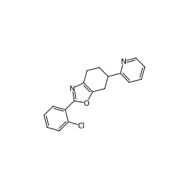 Clc1ccccc1-c1nc2c(o1)CC(c1ccccn1)CC2